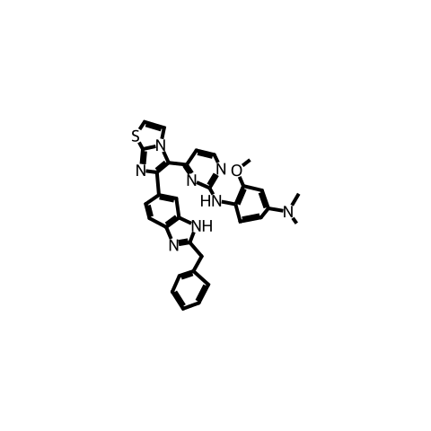 COc1cc(N(C)C)ccc1Nc1nccc(-c2c(-c3ccc4nc(Cc5ccccc5)[nH]c4c3)nc3sccn23)n1